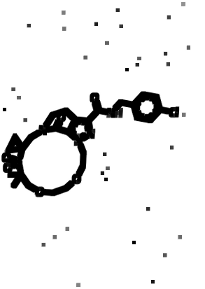 CC1(C)COCCOCCn2nc(C(=O)NCc3ccc(Cl)cc3)c3c2C(=O)N(CC3)CC2(CC2)S1(=O)=O